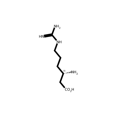 N=C(N)NCCC[C@H](N)CC(=O)O